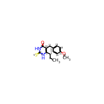 CCCc1[nH]c(=S)[nH]c(=O)c1Cc1ccc(OC)cc1